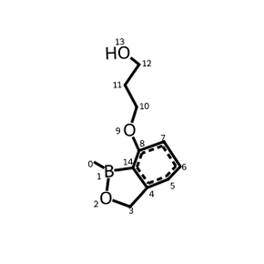 CB1OCc2cccc(OCCCO)c21